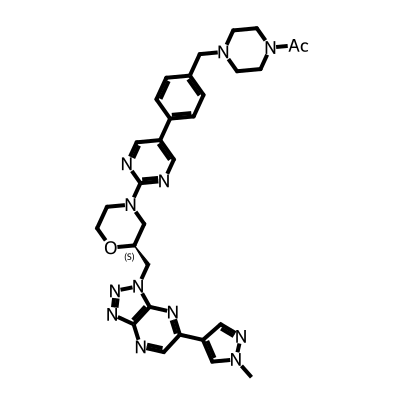 CC(=O)N1CCN(Cc2ccc(-c3cnc(N4CCO[C@H](Cn5nnc6ncc(-c7cnn(C)c7)nc65)C4)nc3)cc2)CC1